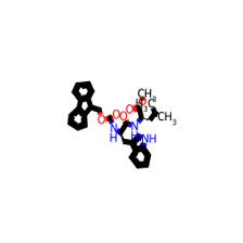 COC(=O)[C@H](CC(C)C)NC(=O)[C@@H](Cc1c[nH]c2ccccc12)NC(=O)OCC1c2ccccc2-c2ccccc21